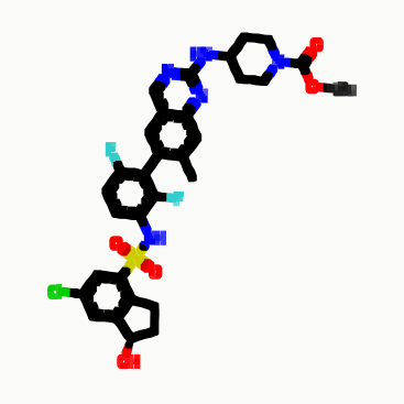 Cc1cc2nc(NC3CCN(C(=O)OC(C)(C)C)CC3)ncc2cc1-c1c(F)ccc(NS(=O)(=O)c2cc(Cl)cc3c2CC[C@H]3O)c1F